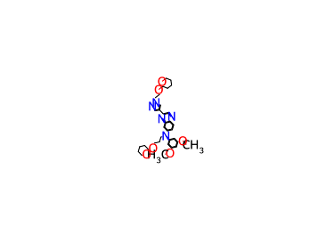 COc1cc(OC)cc(N(CCCOC2CCCCO2)c2ccc3ncc(-c4cnn(CCOC5CCCCO5)c4)nc3c2)c1